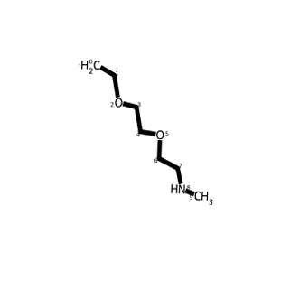 [CH2]COCCOCCNC